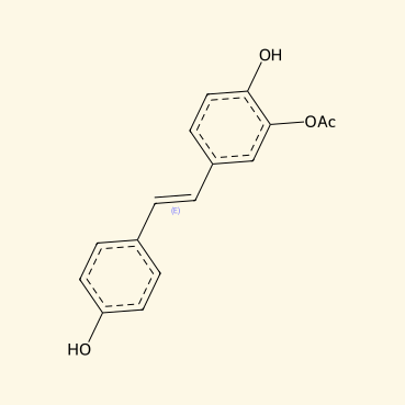 CC(=O)Oc1cc(/C=C/c2ccc(O)cc2)ccc1O